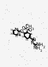 CS(=O)(=O)c1cc(C(=O)N=C(N)N)ccc1Oc1ncccn1